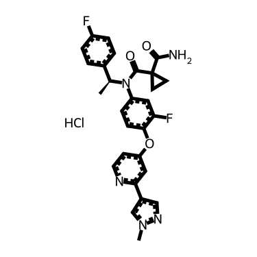 C[C@@H](c1ccc(F)cc1)N(C(=O)C1(C(N)=O)CC1)c1ccc(Oc2ccnc(-c3cnn(C)c3)c2)c(F)c1.Cl